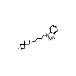 CC1(COCCCCn2nnc3ccccc32)COC1